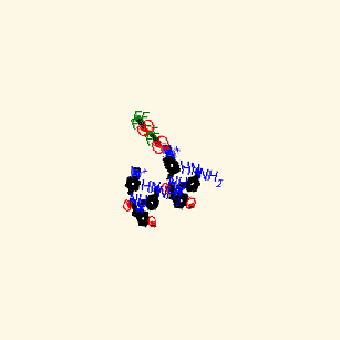 COc1ccc2cc(C(=O)NCc3ccc([N+](C)(C)C)cc3)n(Cc3cccc(C(=N)N)c3)c2c1.COc1ccc2cc(C(=O)NCc3ccc([N+](C)(C)C)cc3)n(Cc3cccc(C(=N)N)c3)c2c1.O=C([O-])C(F)(F)F.O=C([O-])C(F)(F)F